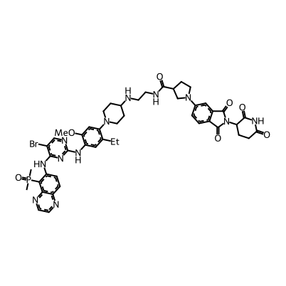 CCc1cc(Nc2ncc(Br)c(Nc3ccc4nccnc4c3P(C)(C)=O)n2)c(OC)cc1N1CCC(NCCNC(=O)C2CCN(c3ccc4c(c3)C(=O)N(C3CCC(=O)NC3=O)C4=O)C2)CC1